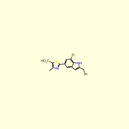 Cc1nc(-c2cc(Br)c3[nH]c(CC(C)C)cc3c2)sc1C(=O)O